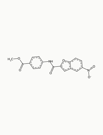 COC(=O)c1ccc(NC(=O)c2cc3cc([N+](=O)[O-])ccc3o2)cc1